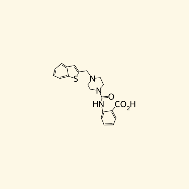 O=C(O)c1ccccc1NC(=O)N1CCN(Cc2cc3ccccc3s2)CC1